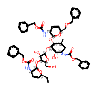 CC[C@H]1C=C[C@@H](NC(=O)OCc2ccccc2)[C@@H](O[C@H]2[C@@H](O)[C@H](O[C@@H]3[C@@H](O)[C@H](NC(=O)OCc4ccccc4)C[C@H](C)[C@H]3O[C@H]3O[C@H](COCc4ccccc4)C=C[C@H]3NC(=O)OCc3ccccc3)O[C@@H]2CO)O1